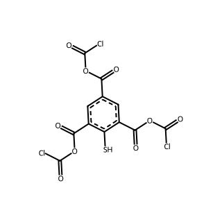 O=C(Cl)OC(=O)c1cc(C(=O)OC(=O)Cl)c(S)c(C(=O)OC(=O)Cl)c1